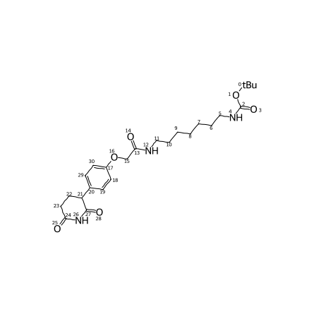 CC(C)(C)OC(=O)NCCCCCCCNC(=O)COc1ccc(C2CCC(=O)NC2=O)cc1